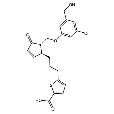 O=C(O)c1ccc(CCC[C@H]2C=CC(=O)[C@@H]2COc2cc(Cl)cc(CO)c2)s1